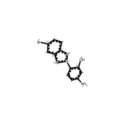 Nc1ccc(-n2nc3ccc(Br)cc3n2)c(O)c1